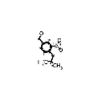 CC(C)[CH]c1ccc(C[O])cc1[N+](=O)[O-]